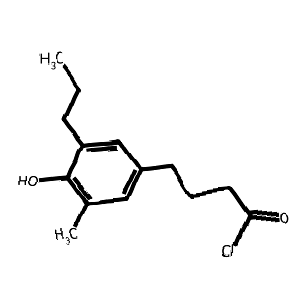 CCCc1cc(CCCC(=O)Cl)cc(C)c1O